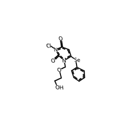 O=c1cc([Se]c2ccccc2)n(COCCO)c(=O)n1Cl